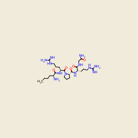 CCCC[C@H](N)C(=O)N[C@@H](CCCNC(=N)N)C(=O)N1CCC[C@H]1C(=O)N[C@@H](CCCNC(=N)N)C(=O)NCC(N)=O